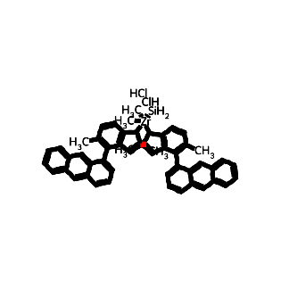 CC1=Cc2c(ccc(C)c2-c2cccc3cc4ccccc4cc23)[CH]1[Zr]([CH3])([CH3])(=[SiH2])[CH]1C(C)=Cc2c1ccc(C)c2-c1cccc2cc3ccccc3cc12.Cl.Cl